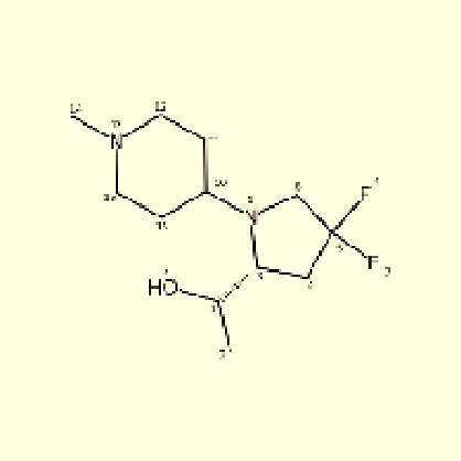 CC(O)[C@H]1CC(F)(F)CN1C1CCN(C)CC1